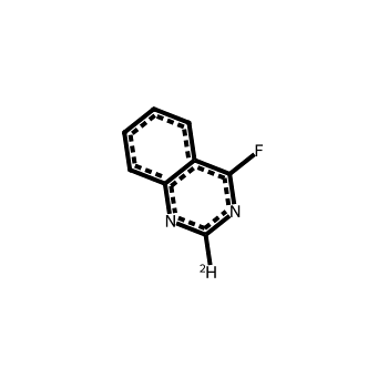 [2H]c1nc(F)c2ccccc2n1